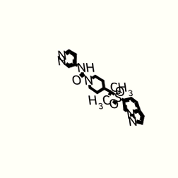 CC(C)(C1CCN(C(=O)Nc2ccnnc2)CC1)S(=O)(=O)c1ccc2ccnn2c1